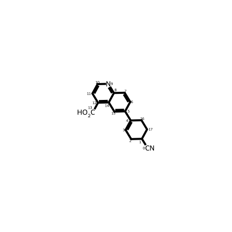 N#CC1CC=C(c2ccc3nccc(C(=O)O)c3c2)CC1